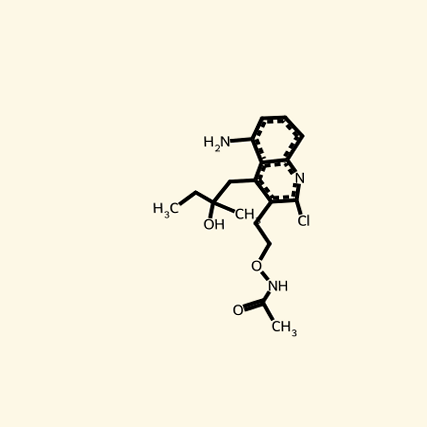 CCC(C)(O)Cc1c(CCONC(C)=O)c(Cl)nc2cccc(N)c12